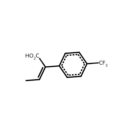 CC=C(C(=O)O)c1ccc(C(F)(F)F)cc1